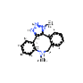 CCC(C)N1Cc2ccccc2-c2c(nnn2CC)-c2ccccc21